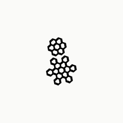 c1cc2ccc3ccc4ccc5ccc6ccc1c1c2c3c4c5c61.c1ccc2c(c1)c1c3ccccc3c3c4ccccc4c4c5ccccc5c5c6ccccc6c6c7ccccc7c2c2c1c3c4c5c62